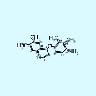 Cc1cc2nccc(Oc3ccc(N)c(C)c3C)c2cc1C